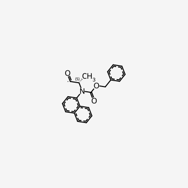 C[C@@H]([C]=O)N(C(=O)OCc1ccccc1)c1cccc2ccccc12